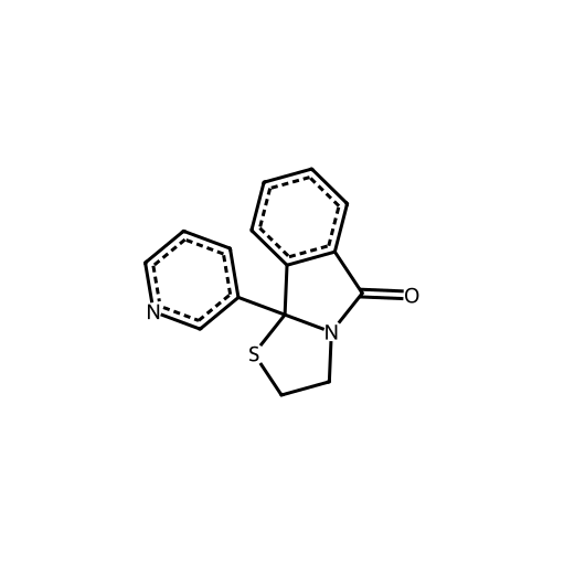 O=C1c2ccccc2C2(c3cccnc3)SCCN12